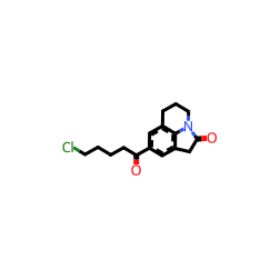 O=C(CCCCCl)c1cc2c3c(c1)CC(=O)N3CCC2